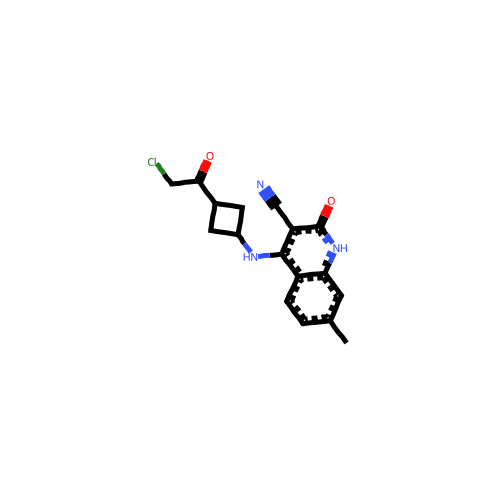 Cc1ccc2c(NC3CC(C(=O)CCl)C3)c(C#N)c(=O)[nH]c2c1